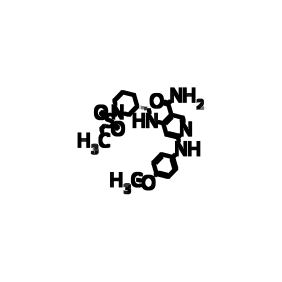 CCS(=O)(=O)N1CCC[C@H](CNc2cc(Nc3ccc(OC)cc3)ncc2C(N)=O)C1